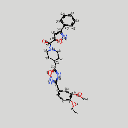 CCOc1ccc(-c2noc(C3CCN(C(=O)c4cc(-c5ccccc5)no4)CC3)n2)cc1OC